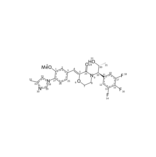 COc1cc(/C=C2\OCCN([C@H](c3cc(F)c(F)c(F)c3)[C@@H](C)O)C2=O)ccc1-n1cnc(C)c1